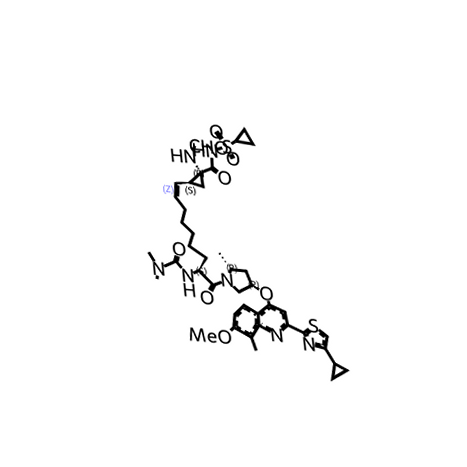 COc1ccc2c(O[C@@H]3C[C@@H](C)N(C(=O)[C@H](CCCCC/C=C\[C@@H]4C[C@]4(NC=O)C(=O)NS(=O)(=O)C4CC4)NC(=O)N(C)C)C3)cc(-c3nc(C4CC4)cs3)nc2c1C